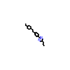 CCCc1cnc(-c2ccc(CCC3CCC(CC)CC3)cc2)nc1